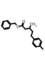 CC(CCc1ccc(I)cc1)CC(=O)OCc1ccccc1